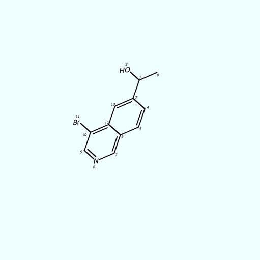 CC(O)c1ccc2cncc(Br)c2c1